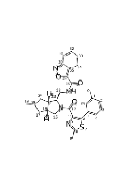 Cc1cccc(-c2sc(C)nc2C(=O)N2C[C@@H]3CC(C)C[C@@H]3[C@H]2CNC(=O)c2onc3ccccc23)c1